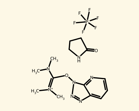 CN(C)C(On1nnc2cccnc21)=[N+](C)C.F[P-](F)(F)(F)(F)F.O=C1CCCN1